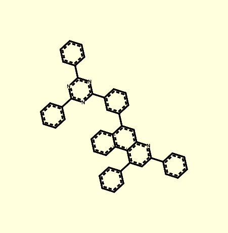 c1ccc(-c2cc(-c3ccccc3)c3c(cc(-c4cccc(-c5nc(-c6ccccc6)nc(-c6ccccc6)n5)c4)c4ccccc43)n2)cc1